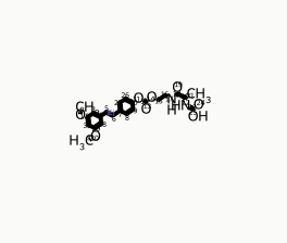 COc1cc(/C=C/c2ccc(OC(=O)OCCNC(=O)C(C)NC(=O)O)cc2)cc(OC)c1